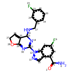 NC(=O)c1cc(F)cc2c1cnn2C1=NC(NCc2cccc(F)c2)C2=CCOC2=N1